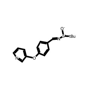 CC(C)(C)[S+]([O-])/N=C/c1ccc(Oc2cccnc2)cc1